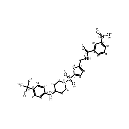 O=C(NCc1ccc(S(=O)(=O)N2CCC(Nc3ccc(C(F)(F)F)cc3)CC2)s1)c1cccc([N+](=O)[O-])c1